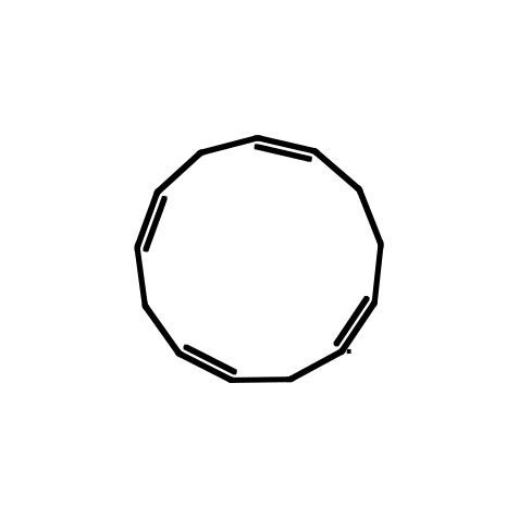 [C]1=CCCC=CCC=CCC=CC1